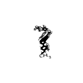 CCCc1ccc(-c2ccc(C(F)(F)Oc3cc(F)c(OC(F)(F)F)c(F)c3)c(F)c2)c(F)c1F